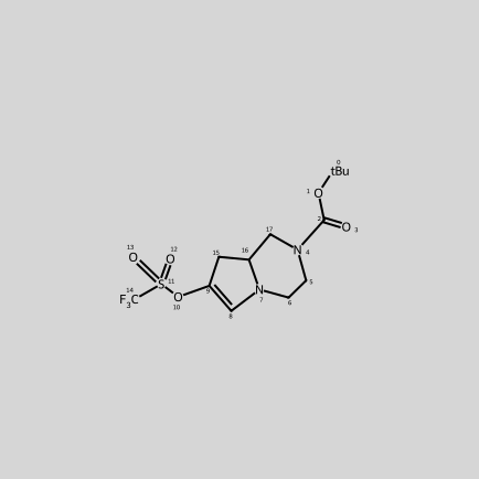 CC(C)(C)OC(=O)N1CCN2C=C(OS(=O)(=O)C(F)(F)F)CC2C1